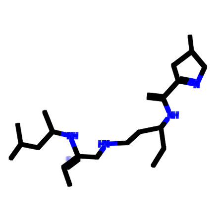 C=C(NC(CC)CCNC/C(=C\C)NC(C)CC(C)C)C1=NCC(C)C1